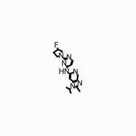 Cc1nc2cnc(Nc3ccnc(N4CCC(F)C4)n3)cc2n1C(C)C